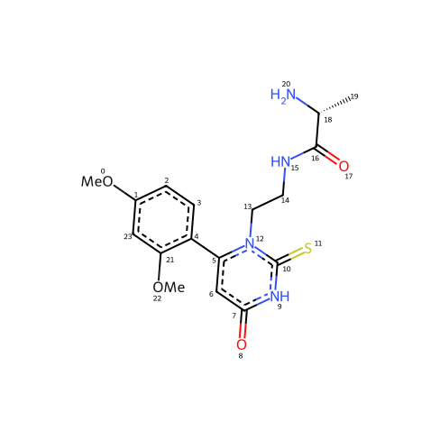 COc1ccc(-c2cc(=O)[nH]c(=S)n2CCNC(=O)[C@@H](C)N)c(OC)c1